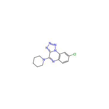 Clc1ccc2nc(N3CCCCC3)c3nnnn3c2c1